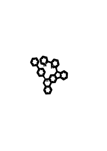 c1ccc(-c2ccc([C@@H]3Cc4ccccc4-c4cc5c(cc43)C(c3cccc(-c4ccccn4)n3)c3ccccc3-5)cc2)cc1